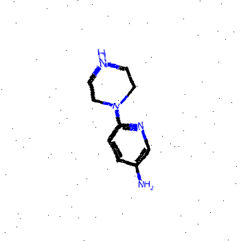 Nc1ccc(N2[CH]CNCC2)nc1